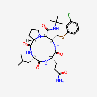 CC(C)C[C@@H]1NC(=O)[C@@H]2CCCN2[C@H](C(=O)NC(C)(C)C)[C@H](CSc2cccc(F)c2)NC(=O)[C@H](CCC(N)=O)NC1=O